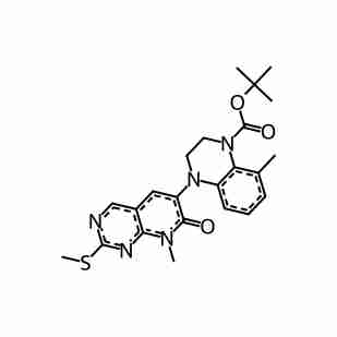 CSc1ncc2cc(N3CCN(C(=O)OC(C)(C)C)c4c(C)cccc43)c(=O)n(C)c2n1